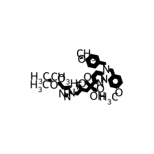 COc1ccc(CN(Cc2ccc(OC)cc2)c2ccc(C(CC(F)Cn3cc(C(=O)OC(C)(C)C)nn3)(C(=O)O)C(=O)O)nn2)cc1